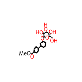 COC(=O)c1ccc(-c2cccc(O[C@H]3OC(CO)[C@@H](O)C(O)[C@H]3O)c2)cc1